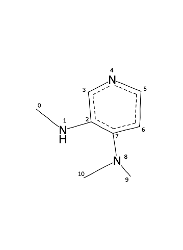 CNc1cnccc1N(C)C